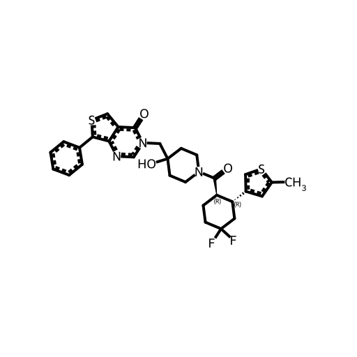 Cc1cc([C@@H]2CC(F)(F)CC[C@H]2C(=O)N2CCC(O)(Cn3cnc4c(-c5ccccc5)scc4c3=O)CC2)cs1